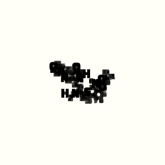 CN(Cc1ccccc1-c1ccc([C@H](N)CCc2n[nH]c(=O)c3cc(N4CCOCC4)ncc23)s1)C(=O)OC(C)(C)C